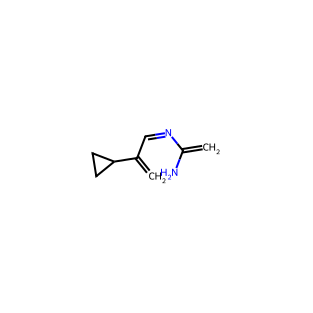 C=C(N)/N=C\C(=C)C1CC1